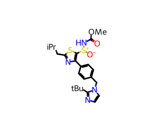 COC(=O)N[S+]([O-])c1sc(CC(C)C)nc1-c1ccc(Cn2ccnc2C(C)(C)C)cc1